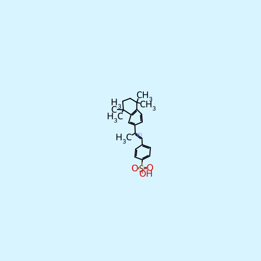 C/C(=C\c1ccc(S(=O)(=O)O)cc1)c1ccc2c(c1)C(C)(C)CCC2(C)C